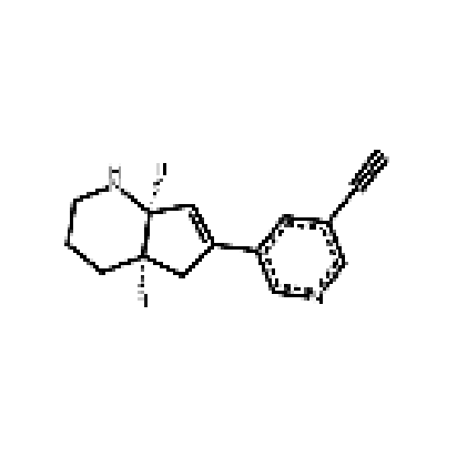 C#Cc1cncc(C2=C[C@@H]3NCCC[C@@H]3C2)c1